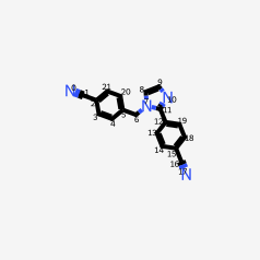 N#Cc1ccc(Cn2ccnc2-c2ccc(C#N)cc2)cc1